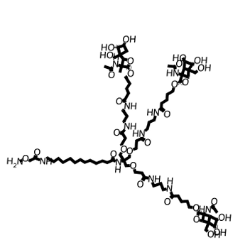 CC(=O)NC1(C)C(C2(CO)CC(O)[C@H]2O)O[C@H]1OCCCCC(=O)NCCCNC(=O)CCOCC(COCCC(=O)NCCCNC(=O)CCCCO[C@@H]1OC2C3(CO)C(C(O)[C@H]3O)C21NC(C)=O)(COCCC(=O)NCCCNC(=O)CCCCO[C@@H]1OC2C3(CO)C(C(O)[C@H]3O)C21NC(C)=O)NC(=O)CCCCCCCCCCCCNC(=O)CON